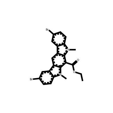 CCOC(=O)c1c2c(cc3c4cc(Br)ccc4n(C)c13)c1cc(Br)ccc1n2C